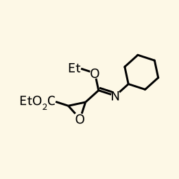 CCOC(=O)C1OC1C(=NC1CCCCC1)OCC